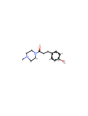 CN1CCN(C(=O)CCc2ccc(Br)cc2)CC1